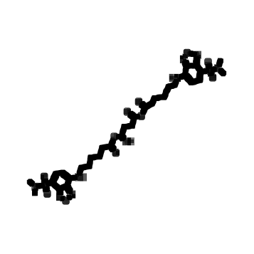 CN(C)S(=O)(=O)c1ccc(NCCCCCC(=O)OC(=N)CCC(=O)OC(=O)CCCCCNc2ccc(S(=O)(=O)N(C)C)c3nonc23)c2nonc12